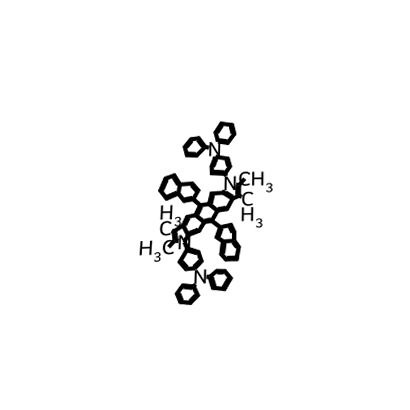 Cc1c(C)n(-c2ccc(N(c3ccccc3)c3ccccc3)cc2)c2cc3c(-c4ccc5ccccc5c4)c4cc5c(C)c(C)n(-c6ccc(N(c7ccccc7)c7ccccc7)cc6)c5cc4c(-c4ccc5ccccc5c4)c3cc12